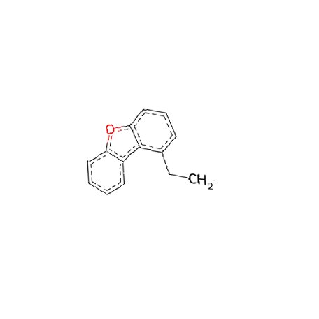 [CH2]Cc1cccc2oc3ccccc3c12